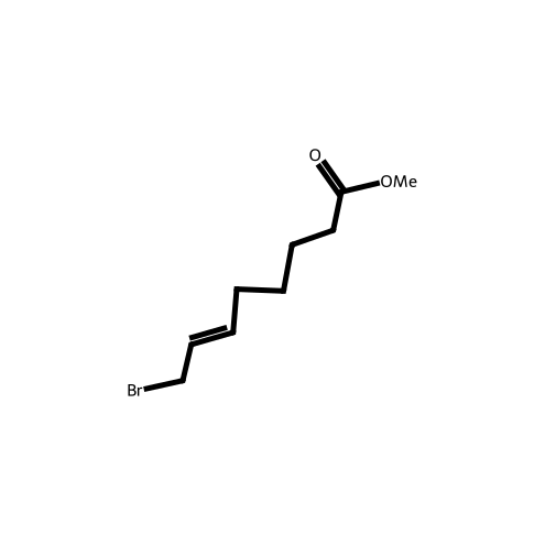 COC(=O)CCCC/C=C/CBr